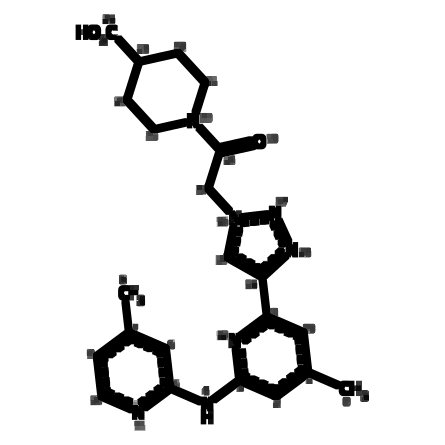 Cc1cc(Nc2cc(C(F)(F)F)ccn2)nc(-c2cn(CC(=O)N3CCC(C(=O)O)CC3)nn2)c1